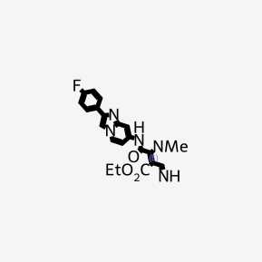 CCOC(=O)/C(C=N)=C(/NC)C(=O)Nc1ccn2cc(-c3ccc(F)cc3)nc2c1